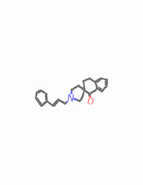 O=C1c2ccccc2CCC12CCN(CC=Cc1ccccc1)CC2